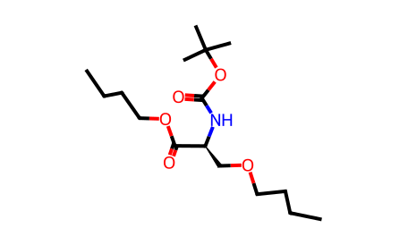 CCCCOC[C@H](NC(=O)OC(C)(C)C)C(=O)OCCCC